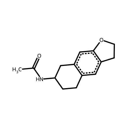 CC(=O)NC1CCc2cc3c(cc2C1)OCC3